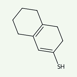 SC1=CC2=C(CCCC2)CC1